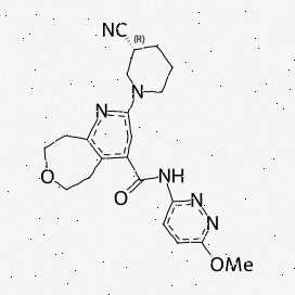 COc1ccc(NC(=O)c2cc(N3CCC[C@@H](C#N)C3)nc3c2CCOCC3)nn1